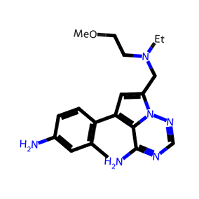 CCN(CCOC)Cc1cc(-c2ccc(N)cc2C)c2c(N)ncnn12